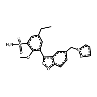 CCc1cc(-c2noc3ccc(Cn4cccn4)cc23)c(OC)c(S(N)(=O)=O)c1